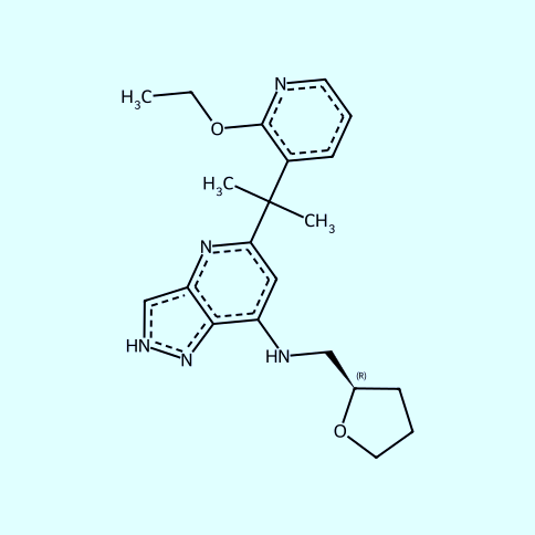 CCOc1ncccc1C(C)(C)c1cc(NC[C@H]2CCCO2)c2n[nH]cc2n1